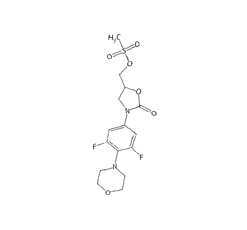 CS(=O)(=O)OCC1CN(c2cc(F)c(N3CCOCC3)c(F)c2)C(=O)O1